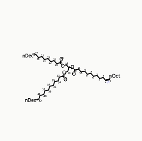 CCCCCCCC/C=C\CCCCCCCCCC(=O)OC(COC(=O)CCCCCCCCCCCCCCCCCC)COC(=O)CCCCCCCCCCCCCCCCCCCC